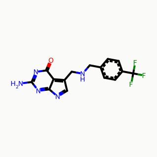 NC1=NC(=O)C2=C(CNCc3ccc(C(F)(F)F)cc3)C=NC2=N1